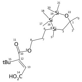 CC1(C)C[Si](C)(CCCOC(=O)C(=CC(=O)O)C(C)(C)C)[Si](C)(C)[Si](C)(C)O1